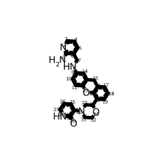 Nc1ncccc1CNc1ccc2c(c1)Cc1cccc(C3CN(c4ccc[nH]c4=O)CCO3)c1O2